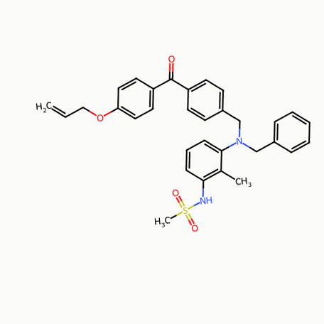 C=CCOc1ccc(C(=O)c2ccc(CN(Cc3ccccc3)c3cccc(NS(C)(=O)=O)c3C)cc2)cc1